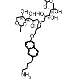 CC1OC[C@@H](O)[C@H]([C@H](O)[C@@H](O)CN(CCCOc2ccc3cc(CCCCN)ccc3c2)C[C@H](O)[C@@H](O)[C@@H]2OC(C)OC[C@H]2O)O1